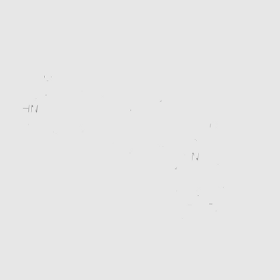 O=C(c1ccc2cc(-c3ccc4c(=O)[nH]ccc4c3)ccc2c1)N1CCC(F)(F)CC1